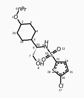 CCCOC1CCC([C@@H](CO)NS(=O)(=O)c2ccc(Cl)s2)CC1